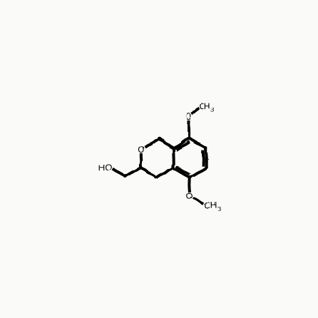 COc1ccc(OC)c2c1COC(CO)C2